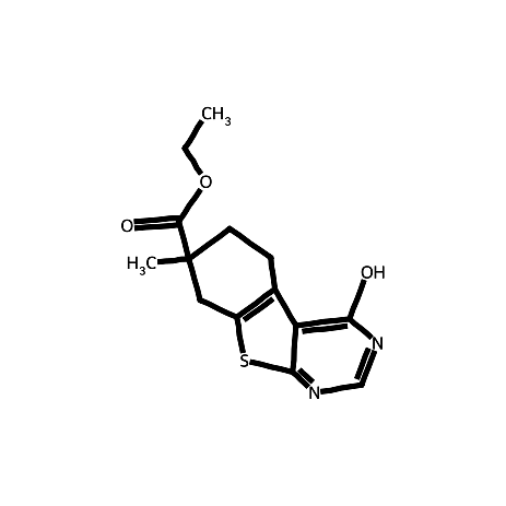 CCOC(=O)C1(C)CCc2c(sc3ncnc(O)c23)C1